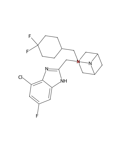 Fc1cc(Cl)c2nc(CN3CC4CC(C3)N4CCC3CCC(F)(F)CC3)[nH]c2c1